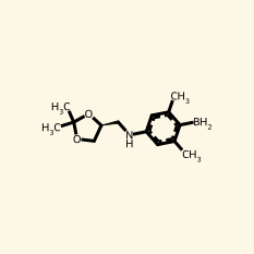 Bc1c(C)cc(NC[C@H]2COC(C)(C)O2)cc1C